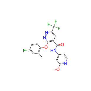 COc1cc(NC(=O)c2cc(C(F)(F)F)nnc2Oc2ccc(F)cc2C)ccn1